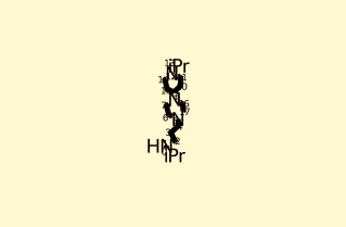 CC(C)NCCCN1CCN(C2CCN(C(C)C)CC2)CC1